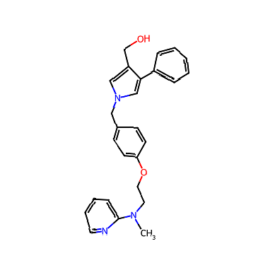 CN(CCOc1ccc(Cn2cc(CO)c(-c3ccccc3)c2)cc1)c1ccccn1